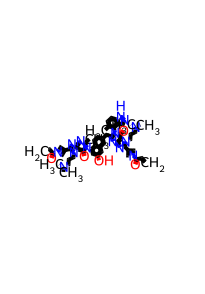 C=CC(=O)N1CC(c2nc3nc(C)n(-c4cc(O)cc5cc(Cc6nc7nc(C8CN(C(=O)C=C)C8)n(CCCN(C)C)c7c(=O)n6-c6c(C)ccc7[nH]ncc67)ccc45)c(=O)c3n2CCCN(C)C)C1